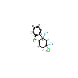 FC1(Cl)[CH]C=CC(F)(c2ccccc2Cl)C1